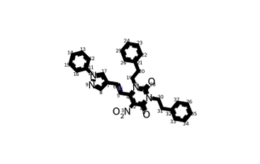 O=c1c([N+](=O)[O-])c(/C=C/c2cnn(-c3ccccc3)c2)n(CCc2ccccc2)c(=O)n1CCc1ccccc1